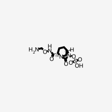 NCONC(=O)[C@@H]1CC[C@@H]2CN1C(=O)N2OS(=O)(=O)O